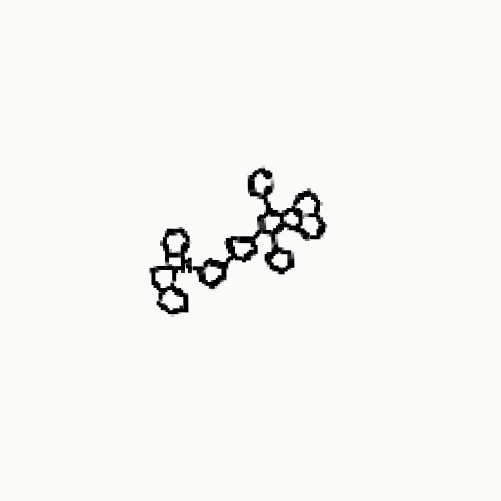 C1=CCC2CCc3c(n(-c4cccc(-c5ccc(-c6cc(-c7ccccc7)c7c(c6-c6ccccc6)-c6cccc8cccc-7c68)cc5)c4)c4ccccc34)C2=C1